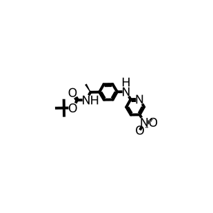 C[C@H](NC(=O)OC(C)(C)C)c1ccc(Nc2ccc([N+](=O)[O-])cn2)cc1